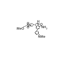 CNCc1cccc(-c2cc(C(N)=O)c3c(c2)C(C2CCN(S(=O)(=O)CCCOC)CC2)CN3)c1